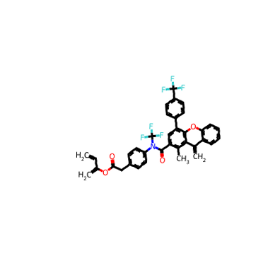 C=CC(=C)OC(=O)Cc1ccc(N(C(=O)c2cc(-c3ccc(C(F)(F)F)cc3)c3c(c2C)C(=C)c2ccccc2O3)C(F)(F)F)cc1